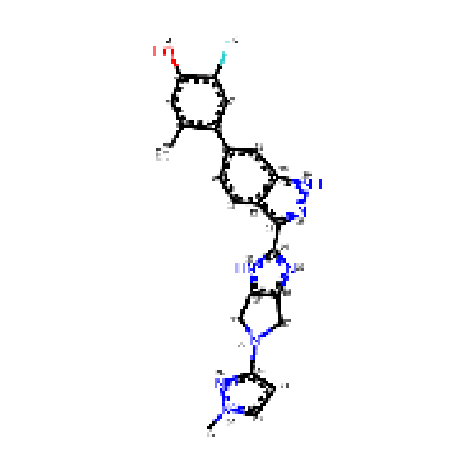 CCc1cc(O)c(F)cc1-c1ccc2c(-c3nc4c([nH]3)CN(c3[c]cn(C)n3)C4)n[nH]c2c1